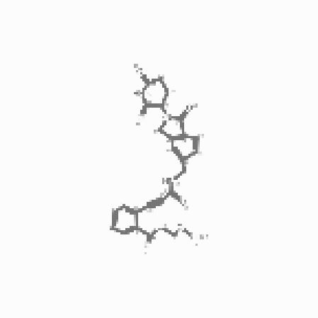 O=COCOC(=O)c1ccccc1C#CC(=O)NCc1ccc2c(c1)CN(C1CCC(=O)NC1=O)C2=O